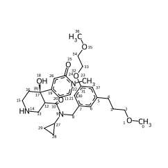 COCCCc1cc(CN(C(=O)C2CNCC[C@]2(O)c2ccn(C)c(=O)c2)C2CC2)cc(OCCOC)c1